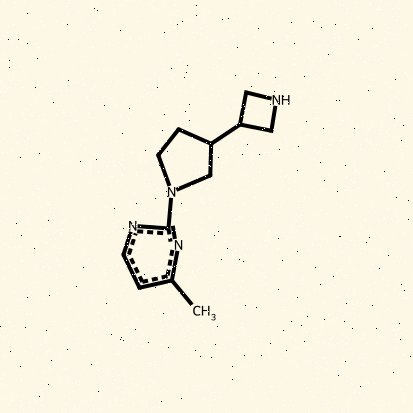 Cc1ccnc(N2CCC(C3CNC3)C2)n1